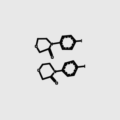 O=C1COCCN1c1ccc(I)cc1.O=C1COCCN1c1ccc(I)cc1